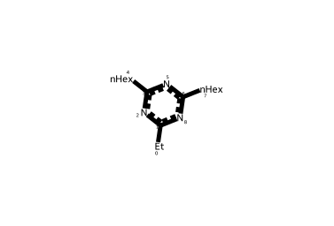 [CH2]Cc1nc(CCCCCC)nc(CCCCCC)n1